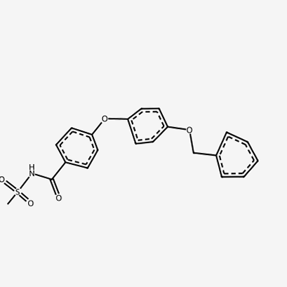 CS(=O)(=O)NC(=O)c1ccc(Oc2ccc(OCc3ccccc3)cc2)cc1